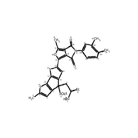 CCCCCCCCC1(CC(CC)CCCC)c2cc(C)sc2-c2sc(-c3oc(C)c4c3C(=O)N(c3ccc(C)c(C)c3)C4=O)cc21